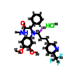 CNC(=O)C(c1ccccc1)N(c1ccc(OC)c(OC)c1)[C@@H](I)CCc1ccc(C(F)(F)F)nc1.Cl